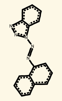 c1ccc2c(/N=N/n3nnc4ccccc43)cccc2c1